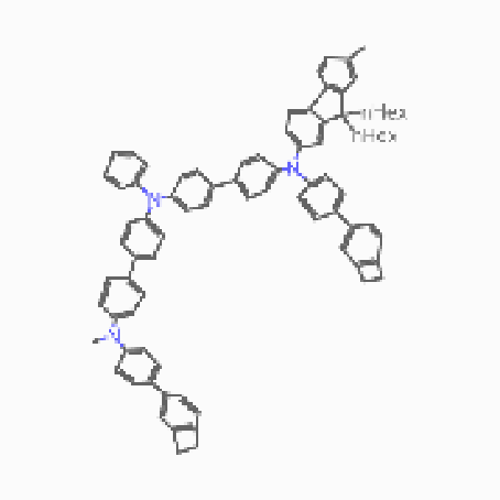 CCCCCCC1(CCCCCC)c2cc(C)ccc2-c2ccc(N(c3ccc(-c4ccc(N(c5ccccc5)c5ccc(-c6ccc(N(C)c7ccc(-c8ccc9c(c8)CC9)cc7)cc6)cc5)cc4)cc3)c3ccc(-c4ccc5c(c4)CC5)cc3)cc21